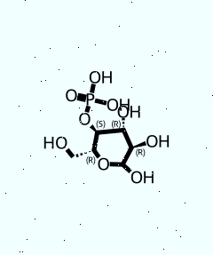 O=P(O)(O)O[C@H]1[C@H](O)[C@@H](O)C(O)O[C@@H]1CO